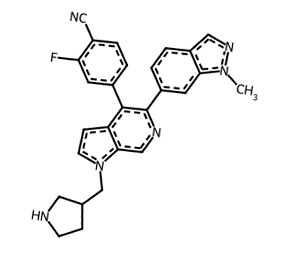 Cn1ncc2ccc(-c3ncc4c(ccn4CC4CCNC4)c3-c3ccc(C#N)c(F)c3)cc21